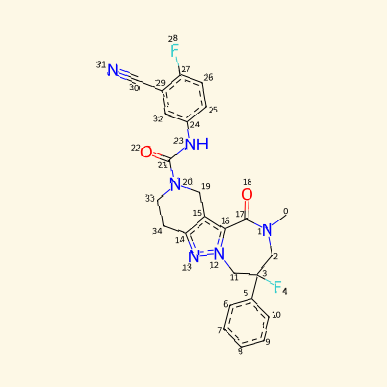 CN1CC(F)(c2ccccc2)Cn2nc3c(c2C1=O)CN(C(=O)Nc1ccc(F)c(C#N)c1)CC3